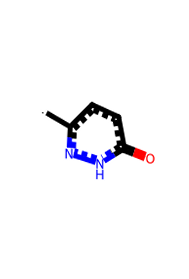 [CH2]c1ccc(=O)[nH]n1